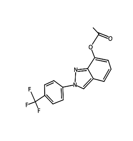 CC(=O)Oc1cccc2cn(-c3ccc(C(F)(F)F)cc3)nc12